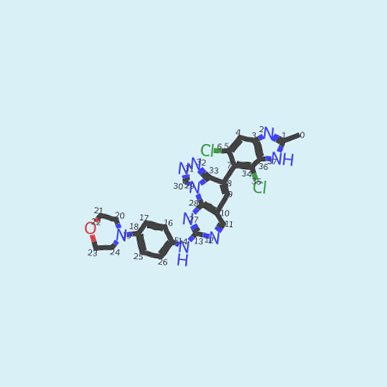 Cc1nc2cc(Cl)c(-c3cc4cnc(Nc5ccc(N6CCOCC6)cc5)nc4n4cnnc34)c(Cl)c2[nH]1